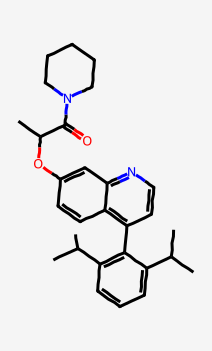 CC(Oc1ccc2c(-c3c(C(C)C)cccc3C(C)C)ccnc2c1)C(=O)N1CCCCC1